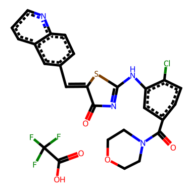 O=C(O)C(F)(F)F.O=C1N=C(Nc2cc(C(=O)N3CCOCC3)ccc2Cl)S/C1=C\c1ccc2ncccc2c1